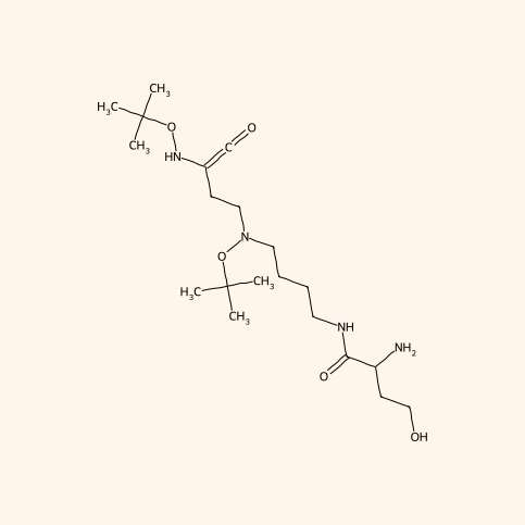 CC(C)(C)ONC(=C=O)CCN(CCCCNC(=O)C(N)CCO)OC(C)(C)C